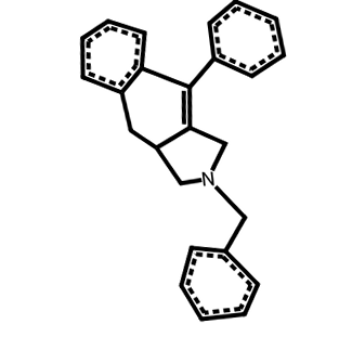 c1ccc(CN2CC3=C(c4ccccc4)c4ccccc4CC3C2)cc1